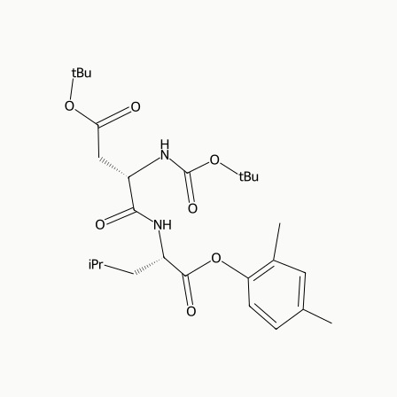 Cc1ccc(OC(=O)[C@H](CC(C)C)NC(=O)[C@H](CC(=O)OC(C)(C)C)NC(=O)OC(C)(C)C)c(C)c1